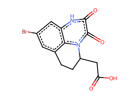 O=C(O)CC1CCc2cc(Br)cc3[nH]c(=O)c(=O)n1c23